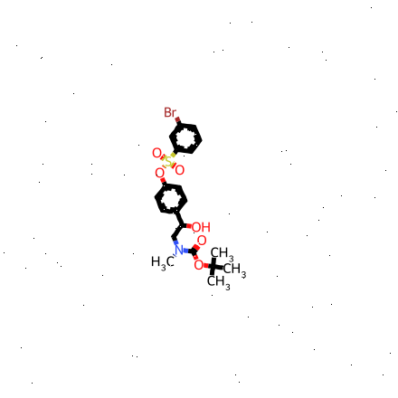 CN(CC(O)c1ccc(OS(=O)(=O)c2cccc(Br)c2)cc1)C(=O)OC(C)(C)C